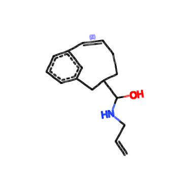 C=CCNC(O)C1CC/C=C\c2cccc(c2)C1